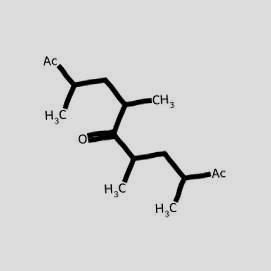 CC(=O)C(C)CC(C)C(=O)C(C)CC(C)C(C)=O